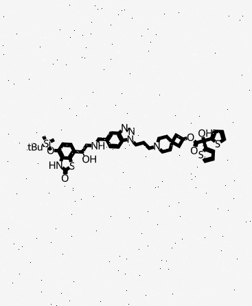 CC(C)(C)[Si](C)(C)Oc1ccc([C@@H](O)CNCc2ccc3c(c2)nnn3CCCN2CCC3(CC2)CC(OC(=O)C(O)(c2cccs2)c2cccs2)C3)c2sc(=O)[nH]c12